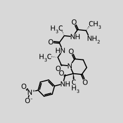 C[C@H](N)C(=O)N[C@@H](C)C(=O)N[C@@H](C)C(=O)N1C(=O)CCC(=O)[C@]1(C)C(=O)Nc1ccc([N+](=O)[O-])cc1